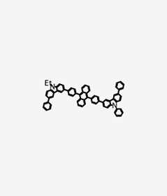 CCn1c2ccc(-c3ccccc3)cc2c2cc(-c3ccc(-c4c5ccccc5c(-c5ccc(-c6ccc7c(c6)c6cc(-c8ccccc8)ccc6n7-c6ccccc6)cc5)c5ccccc45)cc3)ccc21